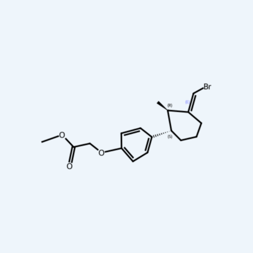 COC(=O)COc1ccc([C@H]2CCC/C(=C\Br)[C@@H]2C)cc1